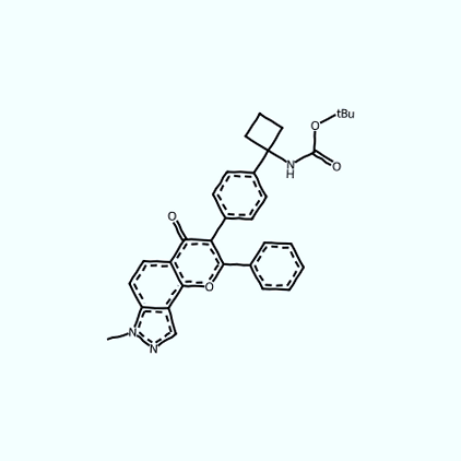 Cn1ncc2c3oc(-c4ccccc4)c(-c4ccc(C5(NC(=O)OC(C)(C)C)CCC5)cc4)c(=O)c3ccc21